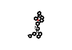 c1ccc(-c2ccc(N(c3ccc(-c4ccc5sc6c(ccc7ccc8c9ccccc9n(-c9ccccc9)c8c76)c5c4)nc3)c3cccc4ccccc34)cc2)cc1